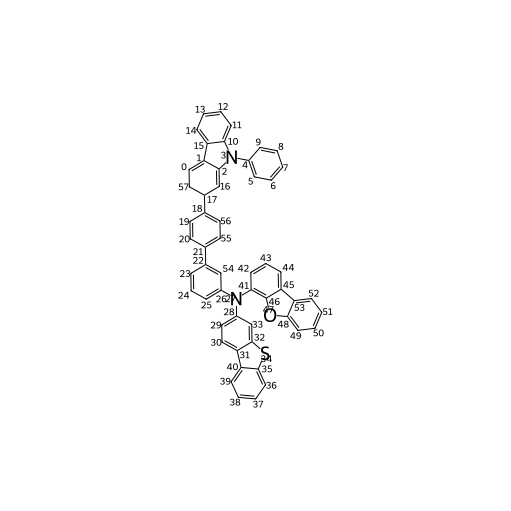 C1=c2c(n(-c3ccccc3)c3ccccc23)=CC(c2ccc(-c3cccc(N(c4ccc5c(c4)sc4ccccc45)c4cccc5c4oc4ccccc45)c3)cc2)C1